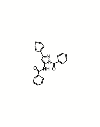 O=C(Nc1cc(-c2ccccc2)nn1C(=O)c1ccccc1)c1ccccc1